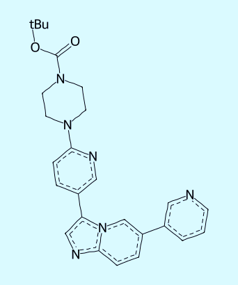 CC(C)(C)OC(=O)N1CCN(c2ccc(-c3cnc4ccc(-c5cccnc5)cn34)cn2)CC1